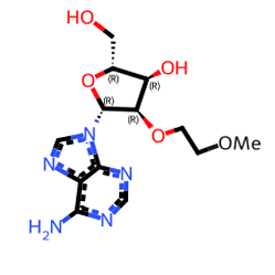 COCCO[C@@H]1[C@H](O)[C@@H](CO)O[C@H]1n1cnc2c(N)ncnc21